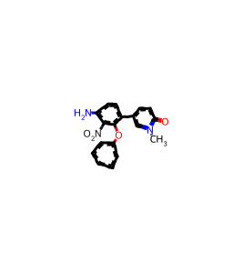 Cn1cc(-c2ccc(N)c([N+](=O)[O-])c2Oc2ccccc2)ccc1=O